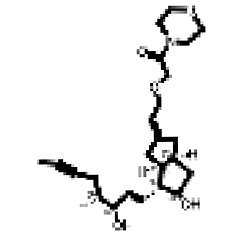 CC#CC[C@@H](C)[C@H](O)C=C[C@@H]1[C@H]2CC(=CCOCC(=O)N3CCOCC3)C[C@H]2C[C@H]1O